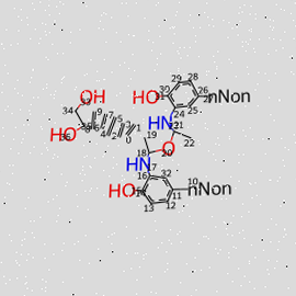 C=C.C=C.C=C.C=C.C=C.CCCCCCCCCc1ccc(O)c(NC(C)OC(C)Nc2cc(CCCCCCCCC)ccc2O)c1.OCCO